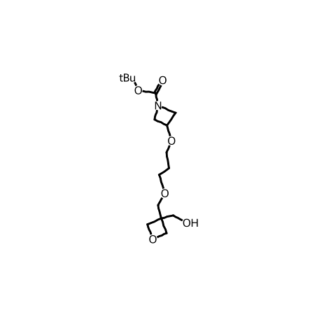 CC(C)(C)OC(=O)N1CC(OCCCOCC2(CO)COC2)C1